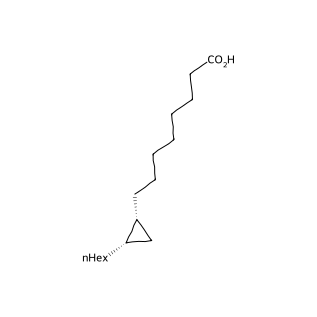 CCCCCC[C@H]1C[C@H]1CCCCCCCC(=O)O